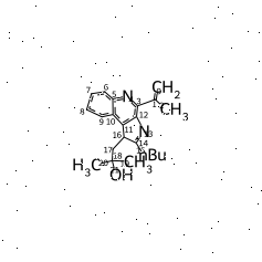 C=C(C)c1nc2ccccc2c2c1N=C(CCCC)C2CC(C)(C)O